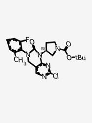 Cc1cccc(F)c1N1Cc2cnc(Cl)nc2N([C@H]2CCN(C(=O)OC(C)(C)C)C2)C1=O